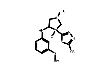 CCCSc1cccc(NC2CN(C)C[N+]2([O-])c2nnc(C(F)(F)F)s2)c1